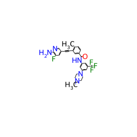 Cc1ccc(C(=O)Nc2cc(N3CCN(C)CC3)cc(C(F)(F)F)c2)cc1C#Cc1cnc(N)c(F)c1